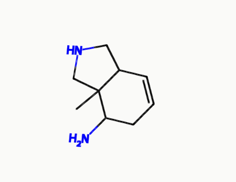 CC12CNCC1C=CCC2N